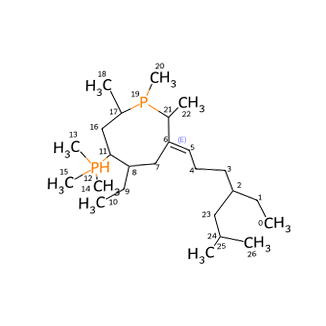 CCC(CC/C=C1\CC(CC)C([PH](C)(C)C)CC(C)P(C)C1C)CC(C)C